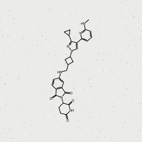 CNc1cccc(-c2cn(C3CC(CNc4ccc5c(c4)C(=O)N(C4CCC(=O)NC4=O)C5=O)C3)nc2C2CC2)n1